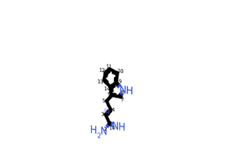 N=C(N)/C=C/Cc1c[nH]c2ccccc12